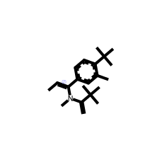 C=C(N(C)/C(=C\C)c1ccc(C(C)(C)C)c(C)c1)C(C)(C)C